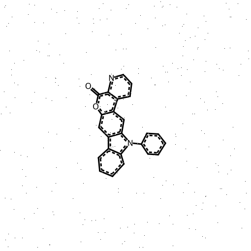 O=c1oc2cc3c4ccccc4n(-c4ccccc4)c3cc2c2cccnc12